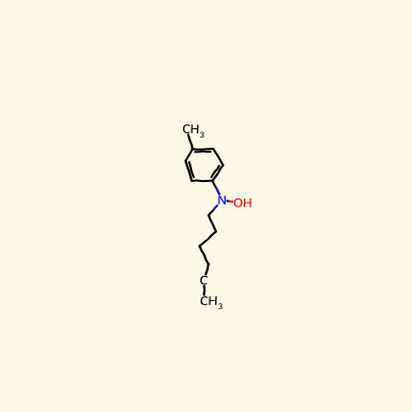 CCCCCCN(O)c1ccc(C)cc1